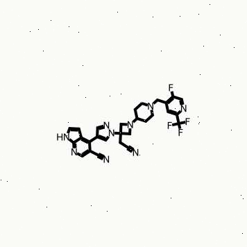 N#CCC1(n2cc(-c3c(C#N)cnc4[nH]ccc34)cn2)CN(C2CCN(Cc3cc(C(F)(F)F)ncc3F)CC2)C1